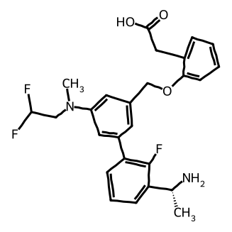 C[C@@H](N)c1cccc(-c2cc(COc3ccccc3CC(=O)O)cc(N(C)CC(F)F)c2)c1F